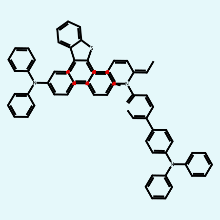 C=C(/C=C\C(=C/C)c1ccc(N(c2ccccc2)c2ccccc2)cc1)N(C(/C=C\C(=C/C)c1cccc2c1sc1ccccc12)=C/C)c1ccc(-c2ccc(N(c3ccccc3)c3ccccc3)cc2)cc1